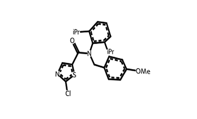 COc1ccc(CN(C(=O)c2cnc(Cl)s2)c2c(C(C)C)cccc2C(C)C)cc1